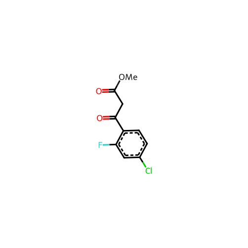 COC(=O)CC(=O)c1ccc(Cl)cc1F